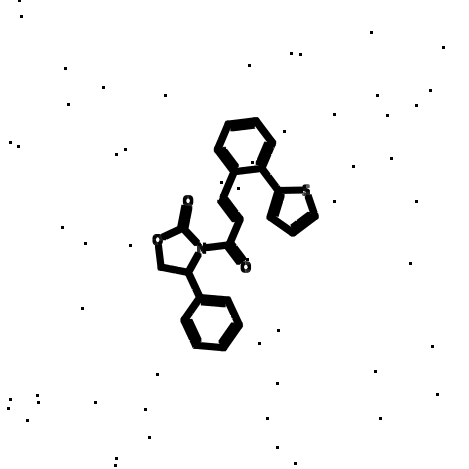 O=C(C=Cc1ccccc1-c1cccs1)N1C(=O)OCC1c1ccccc1